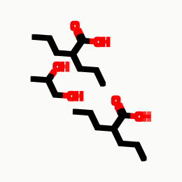 CC(O)CO.CCCC(CCC)C(=O)O.CCCC(CCC)C(=O)O